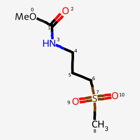 COC(=O)NCCCS(C)(=O)=O